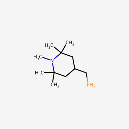 CN1C(C)(C)CC(CP)CC1(C)C